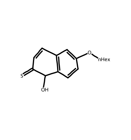 CCCCCCOc1ccc2c(c1)C=CC(=S)C2O